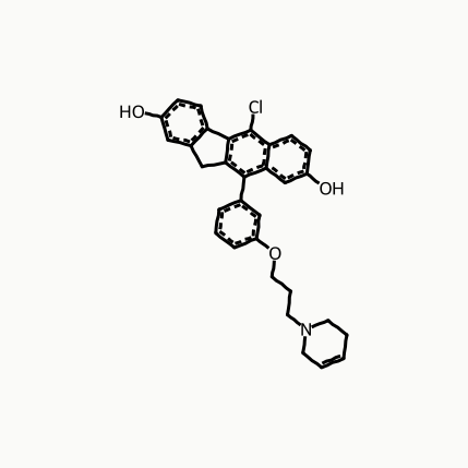 Oc1ccc2c(c1)Cc1c-2c(Cl)c2ccc(O)cc2c1-c1cccc(OCCCN2CC=CCC2)c1